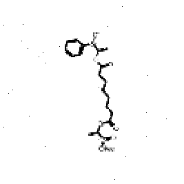 COS(=O)C(C)OC(=O)CCCCCCC(=O)OC(C)[S@@+]([O-])c1ccccc1